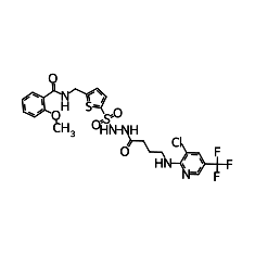 COc1ccccc1C(=O)NCc1ccc(S(=O)(=O)NNC(=O)CCCNc2ncc(C(F)(F)F)cc2Cl)s1